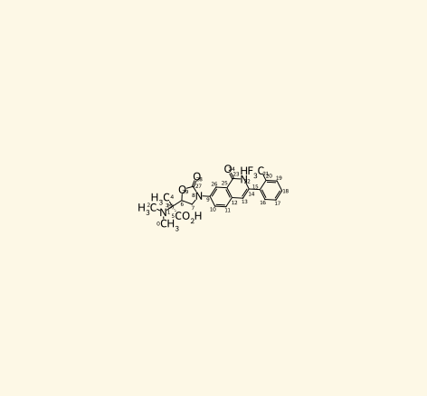 CN(C)[C@](C)(C(=O)O)C1CN(c2ccc3cc(-c4ccccc4C(F)(F)F)[nH]c(=O)c3c2)C(=O)O1